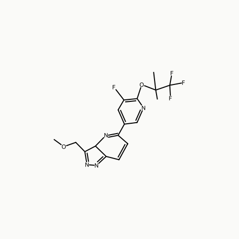 COCC1=NN=C2C=CC(c3cnc(OC(C)(C)C(F)(F)F)c(F)c3)=NC21